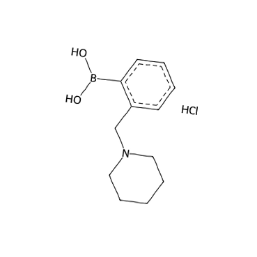 Cl.OB(O)c1ccccc1CN1CCCCC1